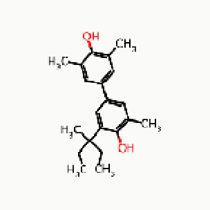 CCC(C)(CC)c1cc(-c2cc(C)c(O)c(C)c2)cc(C)c1O